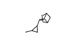 CC1CC1/C=C1\C2CSC1C2